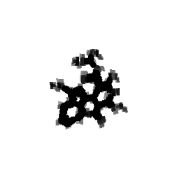 CC1=C(C(=O)O)C(c2cc(C)c3cccccc2-3)C(C(=O)OC(C)C)=C(C)N1